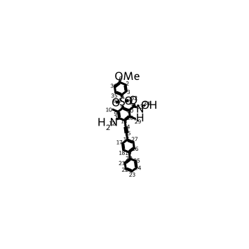 COc1ccc(S(=O)(=O)c2c(C)c(N)c(C#Cc3ccc(-c4ccccc4)cc3)c(C)c2C(=O)NO)cc1